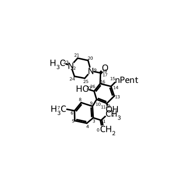 C=C(C)c1ccc(C)cc1-c1c(O)cc(CCCCC)c(C(=O)N2CCN(C)CC2)c1O